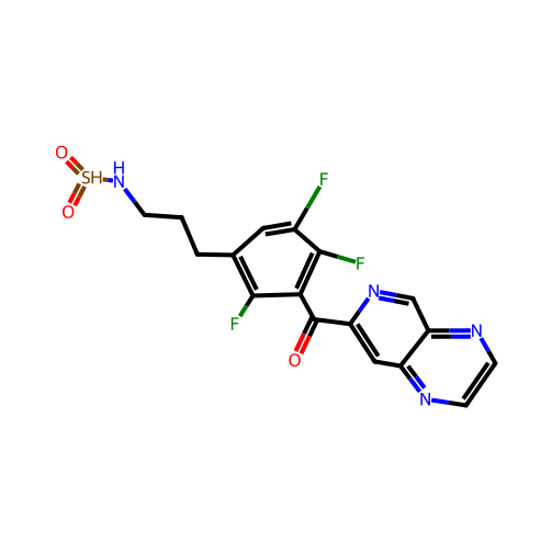 O=C(c1cc2nccnc2cn1)c1c(F)c(F)cc(CCCN[SH](=O)=O)c1F